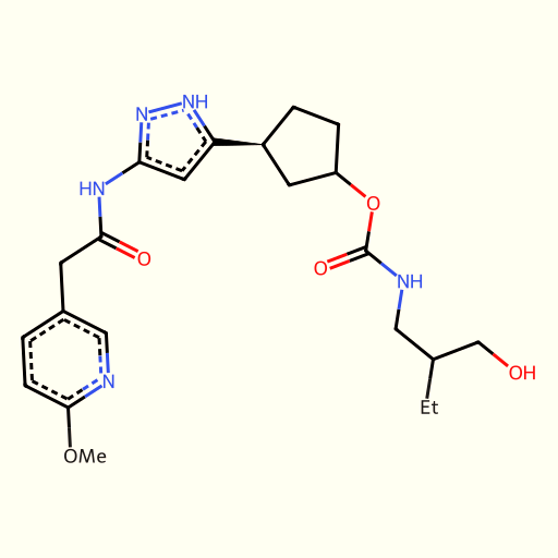 CCC(CO)CNC(=O)OC1CC[C@H](c2cc(NC(=O)Cc3ccc(OC)nc3)n[nH]2)C1